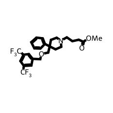 COC(=O)CCCN1CCC(COCc2cc(C(F)(F)F)cc(C(F)(F)F)c2)(c2ccccc2)CC1